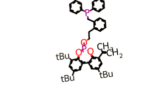 C=C(C)c1cc(C(C)(C)C)cc2c1op(OCCc1ccccc1CP(c1ccccc1)c1ccccc1)oc1c(C(C)(C)C)cc(C(C)(C)C)cc12